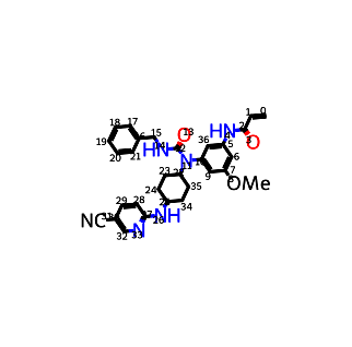 C=CC(=O)Nc1cc(OC)cc(N(C(=O)NCc2ccccc2)C2CCC(Nc3ccc(C#N)cn3)CC2)c1